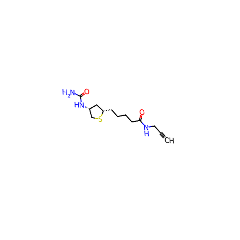 C#CCNC(=O)CCCC[C@H]1C[C@@H](NC(N)=O)CS1